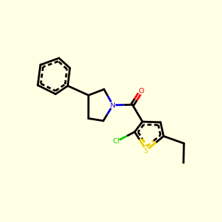 CCc1cc(C(=O)N2CCC(c3ccccc3)C2)c(Cl)s1